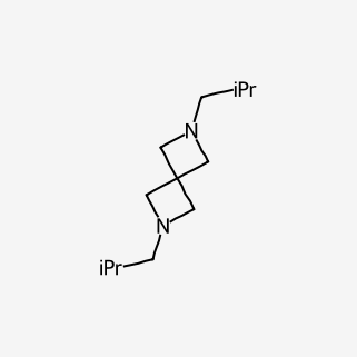 CC(C)CN1CC2(C1)CN(CC(C)C)C2